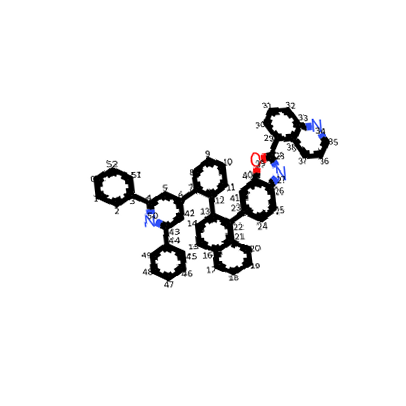 c1ccc(-c2cc(-c3ccccc3-c3ccc4ccccc4c3-c3ccc4nc(-c5cccc6ncccc56)oc4c3)cc(-c3ccccc3)n2)cc1